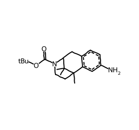 CC(C)(C)OC(=O)N1CCC2(C)c3cc(N)ccc3CC1C2(C)C